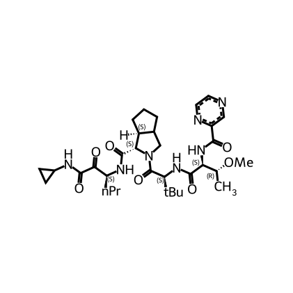 CCC[C@H](NC(=O)[C@@H]1[C@H]2CCCC2CN1C(=O)[C@@H](NC(=O)[C@@H](NC(=O)c1cnccn1)[C@@H](C)OC)C(C)(C)C)C(=O)C(=O)NC1CC1